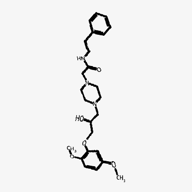 COc1ccc(OC)c(OCC(O)CN2CCN(CC(=O)NCCc3ccccc3)CC2)c1